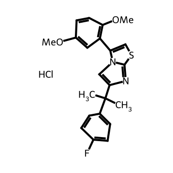 COc1ccc(OC)c(-c2csc3nc(C(C)(C)c4ccc(F)cc4)cn23)c1.Cl